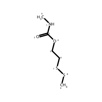 CNC(=O)OCCSSC